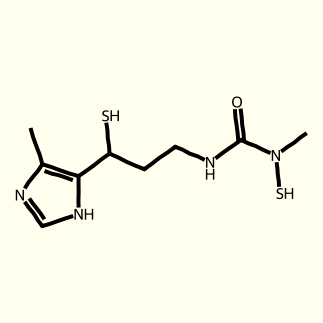 Cc1nc[nH]c1C(S)CCNC(=O)N(C)S